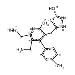 Cc1ccc(-c2c(Cc3nnn[nH]3)c(C)nc(CC(C)C)c2CN)cc1.Cl.Cl